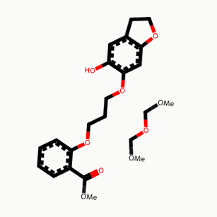 COC(=O)c1ccccc1OCCCOc1cc2c(cc1O)CCO2.COCOCOC